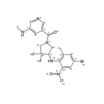 CNc1cncc(C(=O)N2CC(Nc3c(C)cc(Br)cc3[N+](=O)[O-])C(F)(F)C2)c1